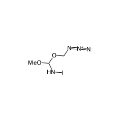 COC(NI)OCN=[N+]=[N-]